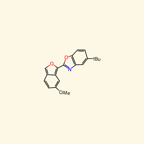 COc1ccc2coc(-c3nc4cc(C(C)(C)C)ccc4o3)c2c1